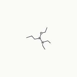 CCCN(OCC)N(CC)CC